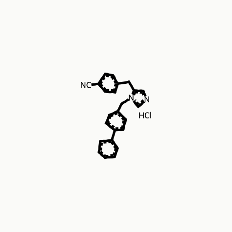 Cl.N#Cc1ccc(Cc2cncn2Cc2ccc(-c3ccccc3)cc2)cc1